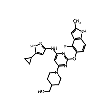 Cc1cc2c(F)c(Oc3nc(Nc4cc(C5CC5)[nH]n4)cc(N4CCC(CO)CC4)n3)ccc2[nH]1